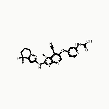 Cn1c(Nc2cc3n(n2)CCCC3(F)F)nc2ncc(Oc3ccnc(NC(=O)O)c3)c(C#N)c21